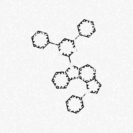 c1ccc(-c2cc(-c3ccccc3)nc(-n3c4ccccc4c4c5c(ccc43)ccn5-c3ccccc3)n2)cc1